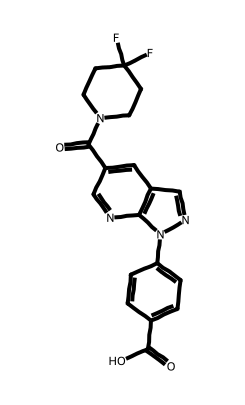 O=C(O)c1ccc(-n2ncc3cc(C(=O)N4CCC(F)(F)CC4)cnc32)cc1